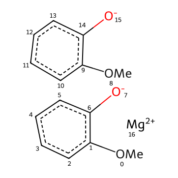 COc1ccccc1[O-].COc1ccccc1[O-].[Mg+2]